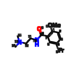 COc1ccc(C(C)C)cc1C(=O)NCCN(C)C